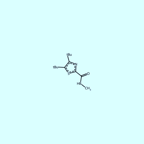 CBC(=O)c1nc(C(C)(C)C)c(C(C)(C)C)s1